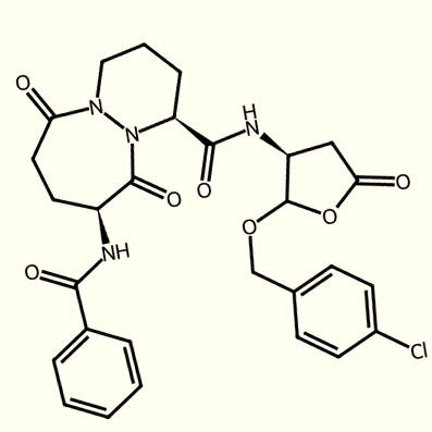 O=C1C[C@H](NC(=O)[C@@H]2CCCN3C(=O)CC[C@H](NC(=O)c4ccccc4)C(=O)N23)C(OCc2ccc(Cl)cc2)O1